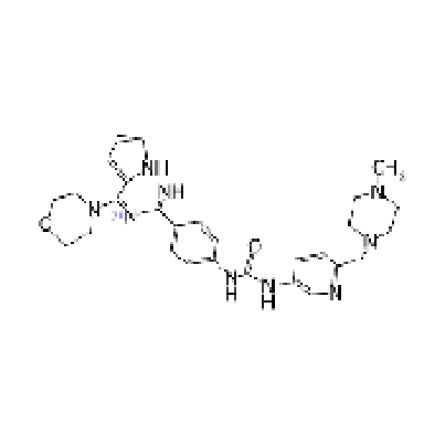 CN1CCN(Cc2ccc(NC(=O)Nc3ccc(C(=N)/N=C(\c4ccc[nH]4)N4CCOCC4)cc3)cn2)CC1